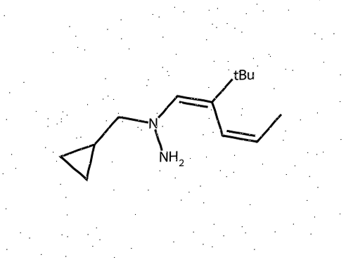 C/C=C\C(=C/N(N)CC1CC1)C(C)(C)C